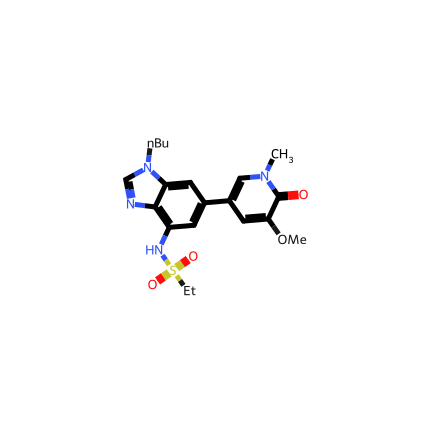 CCCCn1cnc2c(NS(=O)(=O)CC)cc(-c3cc(OC)c(=O)n(C)c3)cc21